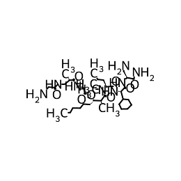 CCCCCC[C@H](OC(=O)CNC(=O)[C@@H](C)CNC(=O)CN)[C@@H](C)C(=O)N(C)[C@@H](CC(C)C)C(=O)N[C@H](C(=O)N[C@@H](CN)C(N)=O)C1CCCCC1